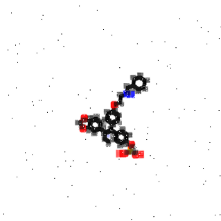 CC/C(=C(/c1ccc(OCCNCC2CCCCC2)cc1)c1ccc(OP(O)O)cc1)c1ccc2c(c1)OCO2